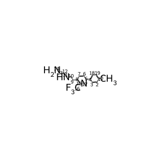 Cc1ccc(-c2ccc(CCNCCN)c(C(F)(F)F)n2)cc1